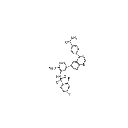 COc1ncc(-c2ccc3nccc(-c4ccc(C(N)=O)cc4)c3c2)cc1NS(=O)(=O)c1ccc(F)cc1F